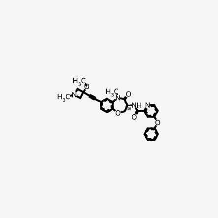 COC1(C#Cc2ccc3c(c2)N(C)C(=O)[C@@H](NC(=O)c2cc(Oc4ccccc4)ccn2)CO3)CN(C)C1